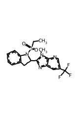 CCS(=O)(=O)N1c2ccccc2CC1c1nc2cc(C(F)(F)F)cnc2n1C